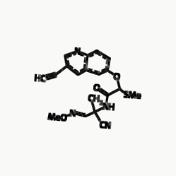 C#Cc1cnc2ccc(OC(SC)C(=O)NC(C)(C#N)C=NOC)cc2c1